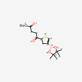 COC(=O)CCC(=O)C1CC(B2OC(C)(C)C(C)(C)O2)=CS1